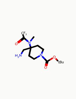 CN(C(=O)C(F)(F)F)C1(CN)CCN(C(=O)OC(C)(C)C)CC1